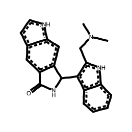 CN(C)Cc1[nH]c2ccccc2c1C1NC(=O)c2cc3cc[nH]c3cc21